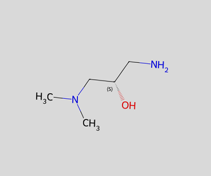 CN(C)C[C@@H](O)CN